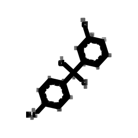 Cc1ccc(C(Cl)(Cl)c2cccc(Cl)c2)cc1